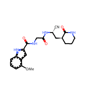 COc1cccc2[nH]c(C(=O)NCC(=O)N[C@H](C#N)C[C@@H]3CCCNC3=O)cc12